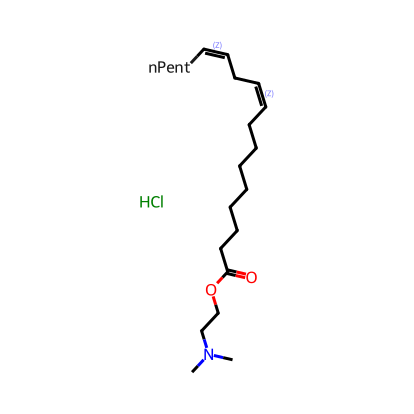 CCCCC/C=C\C/C=C\CCCCCCCC(=O)OCCN(C)C.Cl